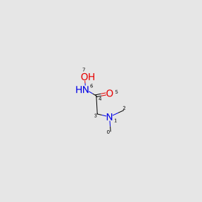 CN(C)CC(=O)NO